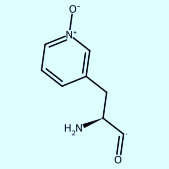 N[C@H]([C]=O)Cc1ccc[n+]([O-])c1